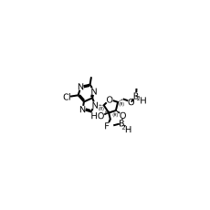 [2H]B(C)OC[C@H]1O[C@@H](n2cnc3c(Cl)nc(C)nc32)[C@@](O)(CF)[C@@H]1OB([2H])C